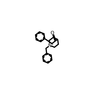 O=C1C2CC[N+](Cc3ccccc3)(CC2)C1c1ccccc1